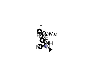 COCN(c1cccc(C(=N)/C(=C\NC2CC2)c2ccncc2)c1F)S(=O)(=O)c1cc(F)ccc1F